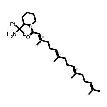 CCC(N)(CC)C1CCCCN1C(=O)/C=C(\C)CC/C=C(\C)CC/C=C(\C)CCC=C(C)C